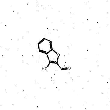 O=Cc1oc2ccccc2c1O